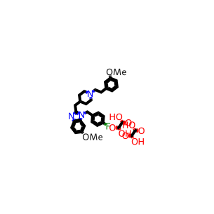 COc1cccc(CCN2CCC(Cc3nc4ccc(OC)cc4n3Cc3ccc(F)cc3)CC2)c1.O=C(O)C(=O)O.O=C(O)C(=O)O